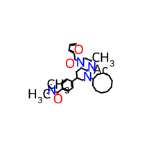 CC(=O)N1C2C(CC(c3ccc(C(=O)N(C)C)cc3)CN2C2CCCCCCCCC2)N(C(=O)c2ccco2)C[C@@H]1C